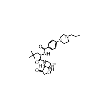 CCCN1CCN(c2ccc(C(=O)NC(CC(C)(C)C)C(=O)N3C[C@@H](C)[C@H]4OCC(=O)[C@H]43)cc2)CC1